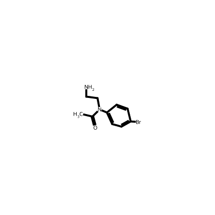 CC(=O)N(CCN)c1ccc(Br)cc1